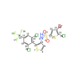 O=S(=O)(Nc1ccsc1-c1c(Cl)cc(C(F)(F)F)cc1Cl)c1cc(Br)c(Cl)s1